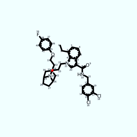 CCc1cccc2c(C(=O)NCc3ccc(Cl)c(Cl)c3)cn(CCCN3C4CCC3CN(CCOc3ccc(F)cc3)C4)c12